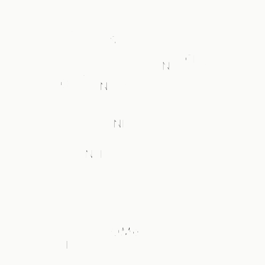 COc1cc(N/C=C\C(=N)N(C(=O)c2cccs2)C2CCN(C)CC2)ccc1F